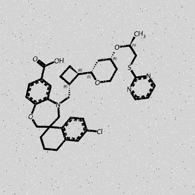 C[C@@H](CSc1ncccn1)O[C@@H]1CCO[C@H]([C@@H]2CC[C@H]2CN2CC3(CCCc4cc(Cl)ccc43)COc3ccc(C(=O)O)cc32)C1